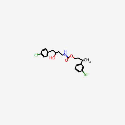 CC(CCOC(=O)NCCC(O)Cc1ccc(Cl)cc1)c1cccc(Br)c1